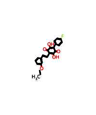 CCCOc1cccc(C=CC2=C(O)C(=O)C(c3ccc(F)cc3)=C(O)C2=O)c1